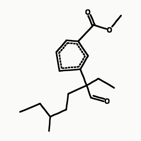 CCC(C)CCC(C=O)(CC)c1cccc(C(=O)OC)c1